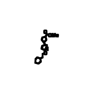 COC(=O)C1CCC(c2ccc(OCCC3CCCCC3)nc2)C1